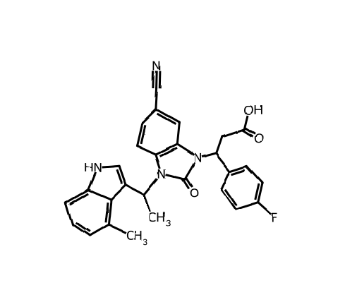 Cc1cccc2[nH]cc(C(C)n3c(=O)n(C(CC(=O)O)c4ccc(F)cc4)c4cc(C#N)ccc43)c12